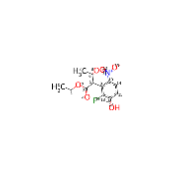 CCOC(=O)C(C(C)=O)c1c([N+](=O)[O-])ccc(O)c1F